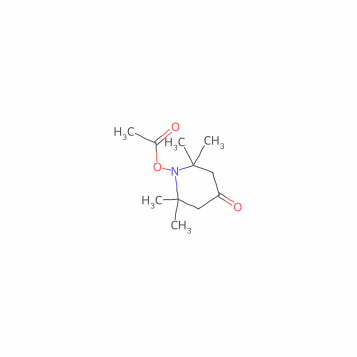 CC(=O)ON1C(C)(C)CC(=O)CC1(C)C